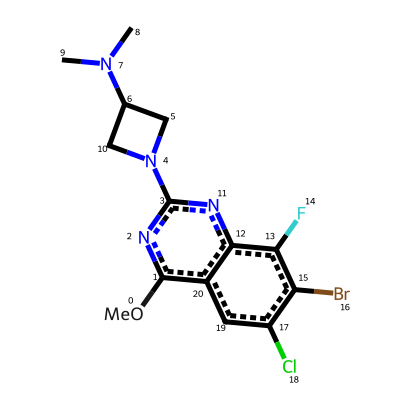 COc1nc(N2CC(N(C)C)C2)nc2c(F)c(Br)c(Cl)cc12